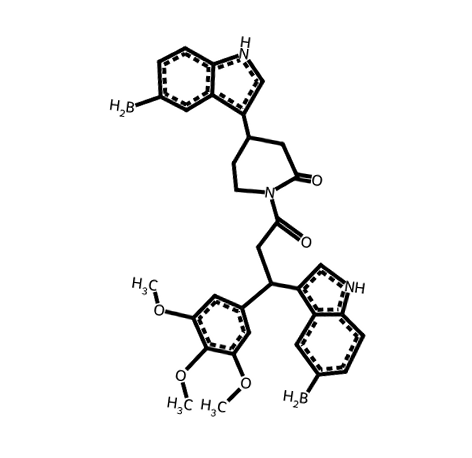 Bc1ccc2[nH]cc(C3CCN(C(=O)CC(c4cc(OC)c(OC)c(OC)c4)c4c[nH]c5ccc(B)cc45)C(=O)C3)c2c1